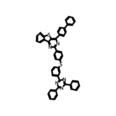 c1ccc(-c2ccc(-c3nc(-c4ccc(Sc5cccc(-c6nc(-c7ccccc7)nc(-c7ccccc7)n6)c5)cc4)nc4c3sc3ccccc34)cc2)cc1